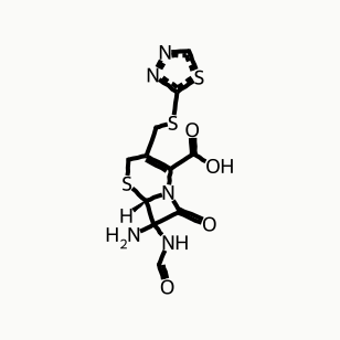 NC1(NC=O)C(=O)N2C(C(=O)O)=C(CSc3nncs3)CS[C@H]21